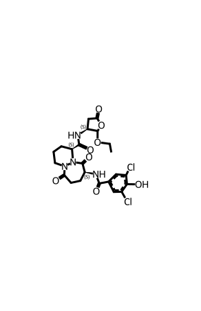 CCOC1OC(=O)C[C@@H]1NC(=O)[C@@H]1CCCN2C(=O)CC[C@H](NC(=O)c3cc(Cl)c(O)c(Cl)c3)C(=O)N12